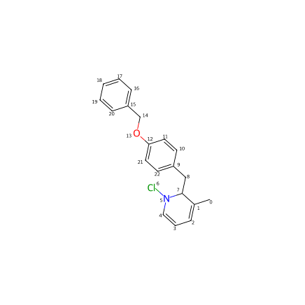 CC1=CC=CN(Cl)C1Cc1ccc(OCc2ccccc2)cc1